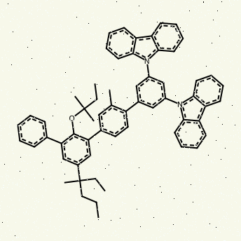 CCCC(C)(CC)c1cc(-c2ccccc2)c(OC(C)(C)CC)c(-c2ccc(-c3cc(-n4c5ccccc5c5ccccc54)cc(-n4c5ccccc5c5ccccc54)c3)c(C)c2)c1